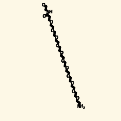 NCCOCCOCCOCCOCCOCCOCCOCCOCCOCCOCCOCCC(=O)NCC=O